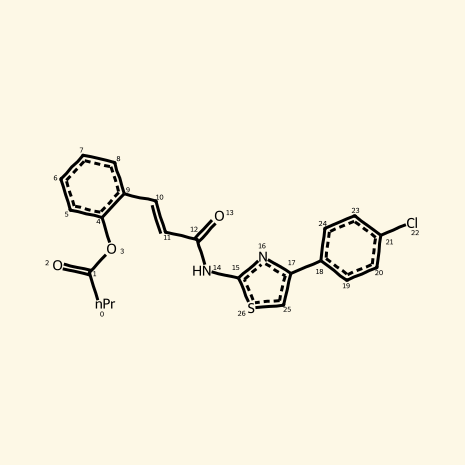 CCCC(=O)Oc1ccccc1/C=C/C(=O)Nc1nc(-c2ccc(Cl)cc2)cs1